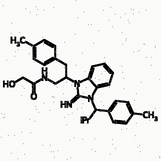 Cc1ccc(CC(CNC(=O)CO)n2c(=N)n(C(c3ccc(C)cc3)C(C)C)c3ccccc32)cc1